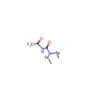 C[Se]N([Se]C)C(=O)NC(=O)C(F)(F)F